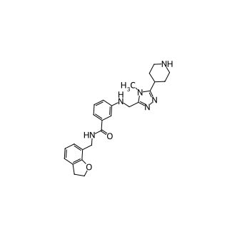 Cn1c(CNc2cccc(C(=O)NCc3cccc4c3OCC4)c2)nnc1C1CCNCC1